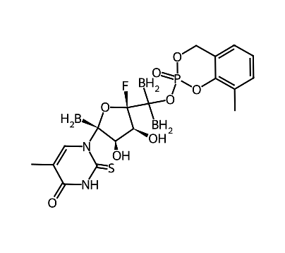 BC(B)(OP1(=O)OCc2cccc(C)c2O1)[C@@]1(F)O[C@@](B)(n2cc(C)c(=O)[nH]c2=S)[C@H](O)[C@@H]1O